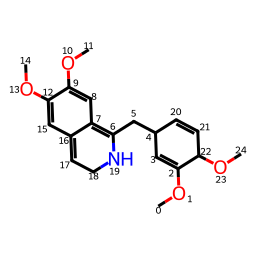 COC1=CC(CC2=c3cc(OC)c(OC)cc3=CCN2)C=CC1OC